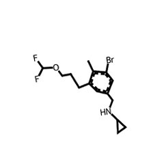 Cc1c(Br)cc(CNC2CC2)cc1CCCOC(F)F